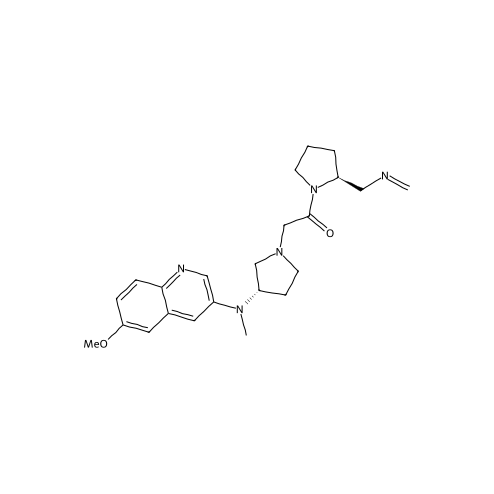 C=NC[C@@H]1CCCN1C(=O)CN1CC[C@H](N(C)c2cnc3ccc(OC)cc3c2)C1